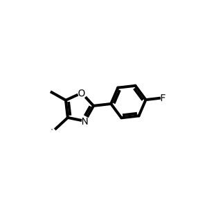 [CH2]c1nc(-c2ccc(F)cc2)oc1C